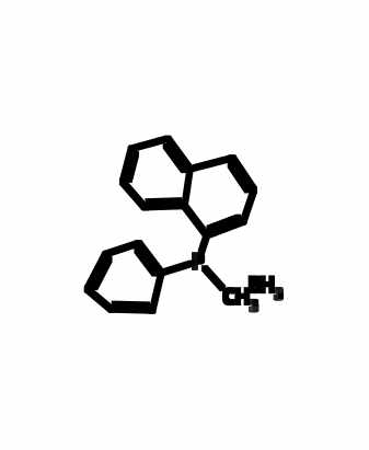 B.CP(c1ccccc1)c1cccc2ccccc12